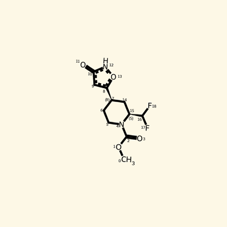 COC(=O)N1CC[C@@H](c2cc(=O)[nH]o2)C[C@H]1C(F)F